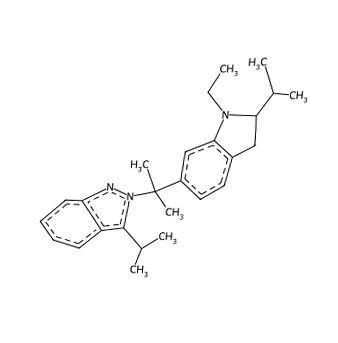 CCN1c2cc(C(C)(C)n3nc4ccccc4c3C(C)C)ccc2CC1C(C)C